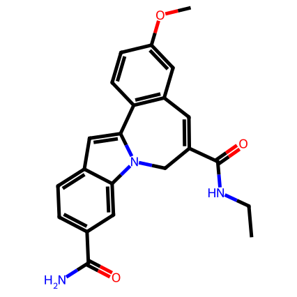 CCNC(=O)C1=Cc2cc(OC)ccc2-c2cc3ccc(C(N)=O)cc3n2C1